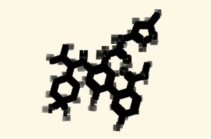 COC(=O)c1ccc(F)cc1-c1cc(NC(=O)Nc2cc(C)on2)c(NC(C(C)C)C2CCC(F)(F)CC2)cc1F